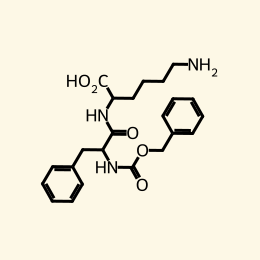 NCCCCC(NC(=O)C(Cc1ccccc1)NC(=O)OCc1ccccc1)C(=O)O